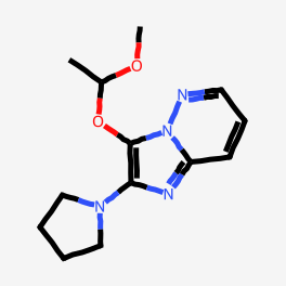 COC(C)Oc1c(N2CCCC2)nc2cccnn12